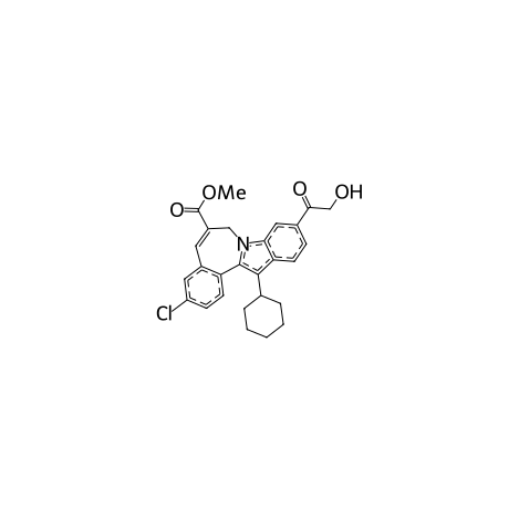 COC(=O)C1=Cc2cc(Cl)ccc2-c2c(C3CCCCC3)c3ccc(C(=O)CO)cc3n2C1